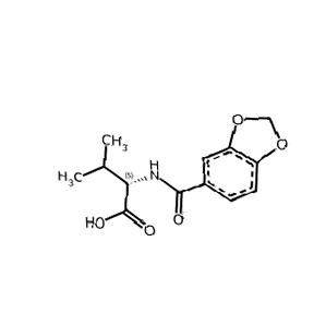 CC(C)[C@H](NC(=O)c1ccc2c(c1)OCO2)C(=O)O